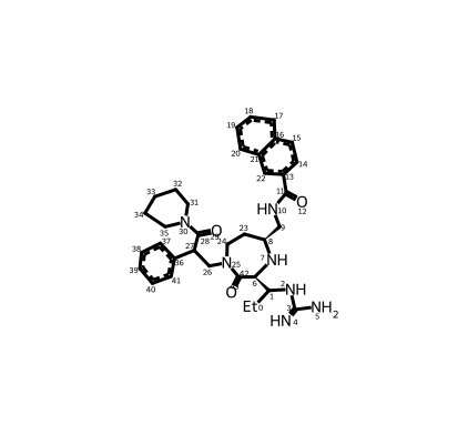 CCC(NC(=N)N)[C@@H]1N[C@H](CNC(=O)c2ccc3ccccc3c2)CCN(CC(C(=O)N2CCCCC2)c2ccccc2)C1=O